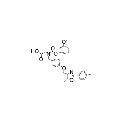 COc1cccc(OC(=O)N(CC(=O)O)[C@@H](C)c2ccc(OCc3nc(-c4ccc(C)cc4)oc3C)cc2)c1